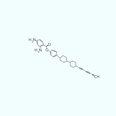 C#CC#CC#CC1CCC(C2CCC(c3ccc(OC(=O)c4ccc(N)cc4N)cc3)CC2)CC1